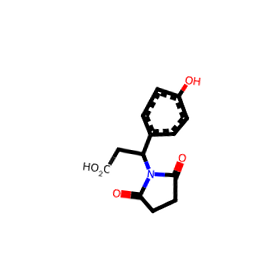 O=C(O)CC(c1ccc(O)cc1)N1C(=O)CCC1=O